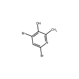 Cc1nc(Br)cc(Br)c1O